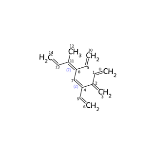 C=CC(=C)/C(C=C)=C\C(C=C)=C(\C)C=C